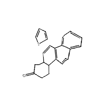 O=C1CCC2c3ccc4ccccc4c3C=CC2C1.c1ccsc1